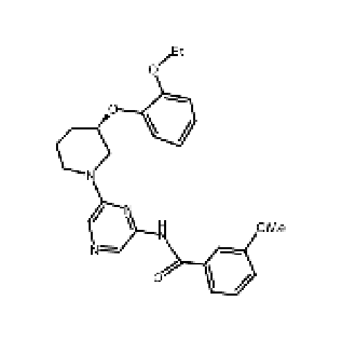 CCOc1ccccc1O[C@@H]1CCCN(c2cncc(NC(=O)c3cccc(OC)c3)n2)C1